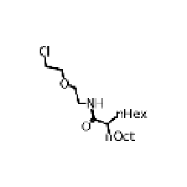 CCCCCCCCC(CCCCCC)C(=O)NCCOCCCl